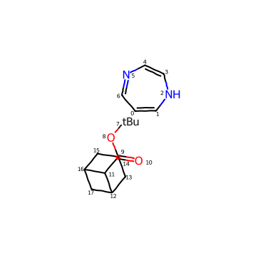 C1=CNC=CN=C1.CC(C)(C)OC(=O)C1C2CCCC1C2